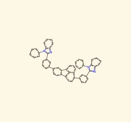 c1ccc(-n2c(-c3cccc(-c4ccc5c(c4)-c4cccc6c(-c7cccc(-c8nc9ccccc9n8-c8ccccc8)c7)ccc-5c46)c3)nc3ccccc32)cc1